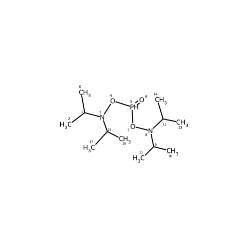 CC(C)N(O[PH](=O)ON(C(C)C)C(C)C)C(C)C